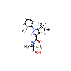 Cc1ccccc1-n1nc(C(=O)NC(C)(C)CO)c2c1[C@@H]1C[C@@H]1C2